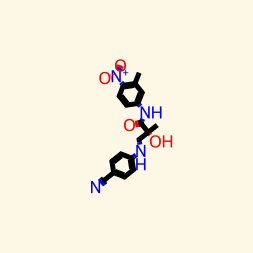 Cc1cc(NC(=O)C(C)(O)CNc2ccc(C#N)cc2)ccc1[N+](=O)[O-]